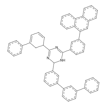 C1=CC(C2=NC(c3cccc(-c4cccc(-c5ccccc5)c4)c3)NC(c3cccc(-c4cc5ccccc5c5ccccc45)c3)=N2)CC(c2ccccc2)=C1